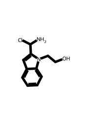 NC(Cl)c1cc2ccccc2n1CCO